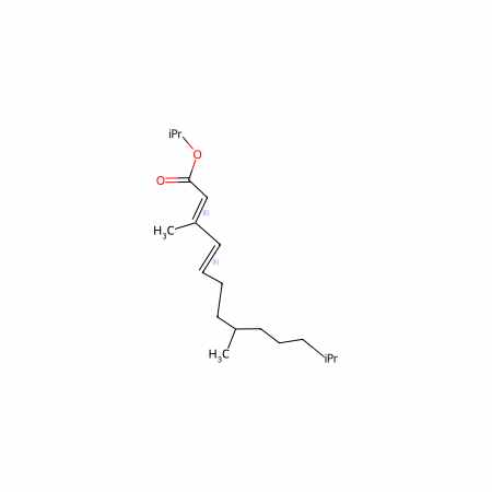 CC(/C=C/CCC(C)CCCC(C)C)=C\C(=O)OC(C)C